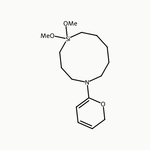 CO[Si]1(OC)CCCCCN(C2=CC=CCO2)CCC1